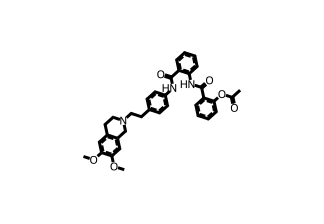 COc1cc2c(cc1OC)CN(CCc1ccc(NC(=O)c3ccccc3NC(=O)c3ccccc3OC(C)=O)cc1)CC2